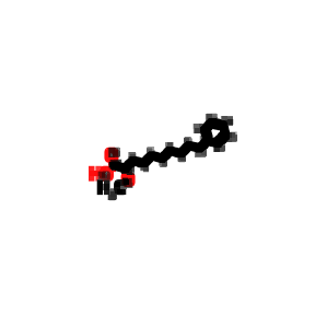 COC(CCCCCCCCc1ccccc1)C(=O)O